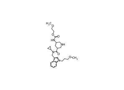 COCCCn1cc(CN(C(=O)C2CNCC(NC(=O)OCCOC)C2)C2CC2)c2ccccc21